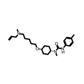 C=CCN(C)CCCCCO[C@H]1CC[C@H](N(C)C(=O)Nc2ccc(C)cc2)CC1